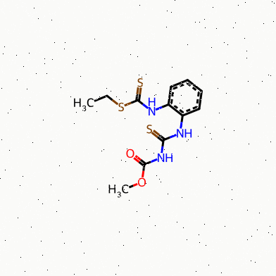 CCSC(=S)Nc1ccccc1NC(=S)NC(=O)OC